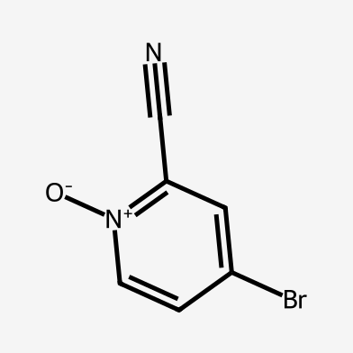 N#Cc1cc(Br)cc[n+]1[O-]